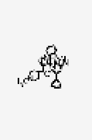 CN1CCC(C(Oc2nn3c(-c4ccccc4)nnc3cc2-c2ccccc2)c2nc[nH]n2)CC1